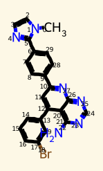 Cn1ccnc1-c1ccc(-c2cc(-c3cccc(Br)c3)c3c(N)ncnc3n2)cc1